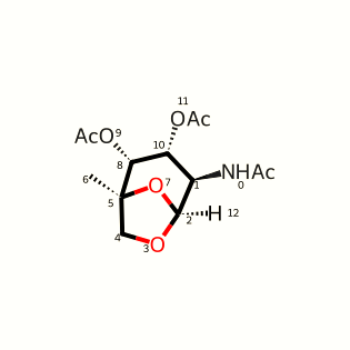 CC(=O)N[C@H]1[C@H]2OC[C@](C)(O2)[C@H](OC(C)=O)[C@@H]1OC(C)=O